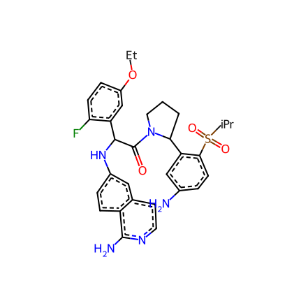 CCOc1ccc(F)c(C(Nc2ccc3c(N)nccc3c2)C(=O)N2CCCC2c2cc(N)ccc2S(=O)(=O)C(C)C)c1